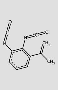 C=C(C)c1cccc(N=C=O)c1N=C=O